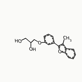 Cc1c(-c2cccc(OCC(O)CO)c2)oc2ccccc12